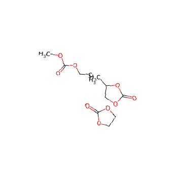 CC1COC(=O)O1.CCOC(=O)OC.O=C1OCCO1